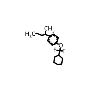 CCCC(C)c1ccc(OC(F)(F)C2CCCCC2)cc1